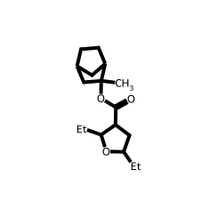 CCC1CC(C(=O)OC2(C)CC3CCC2C3)C(CC)O1